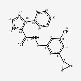 O=C(NCc1cc(C2CC2)cc(C(F)(F)F)c1)c1ncnn1-c1ccccc1